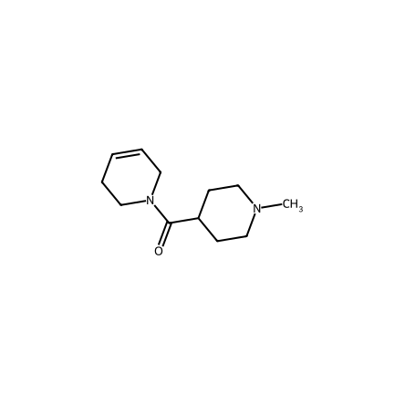 CN1CCC(C(=O)N2CC=CCC2)CC1